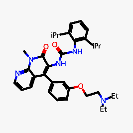 CCN(CC)CCOc1cccc(-c2c(NC(=O)Nc3c(C(C)C)cccc3C(C)C)c(=O)n(C)c3ncccc23)c1